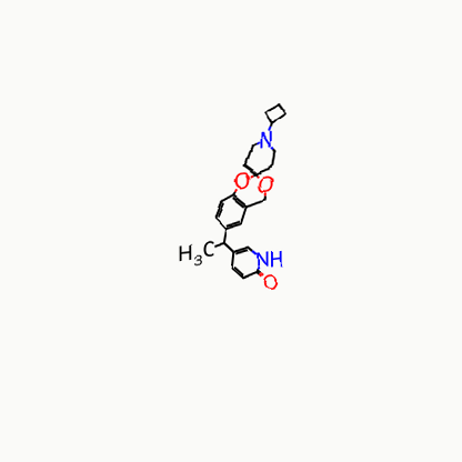 CC(c1ccc(=O)[nH]c1)c1ccc2c(c1)COC1(CCN(C3CCC3)CC1)O2